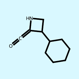 O=C=C1NCC1C1CCCCC1